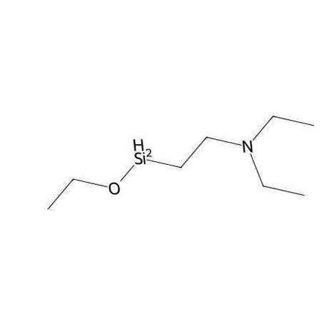 CCO[SiH2]CCN(CC)CC